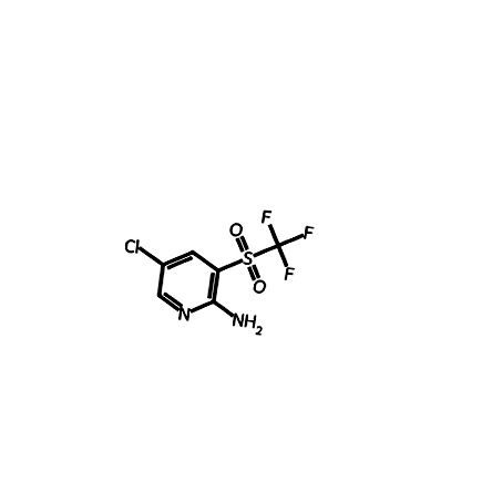 Nc1ncc(Cl)cc1S(=O)(=O)C(F)(F)F